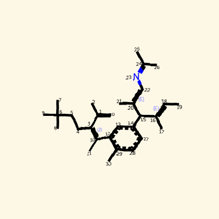 C=C(C)/C(CCC(C)(C)C)=C(/C)c1cc(C(/C(C)=C/C)/C(C)=C/N=C(C)C)ccc1C